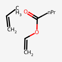 C=CC.C=COC(=O)CCC